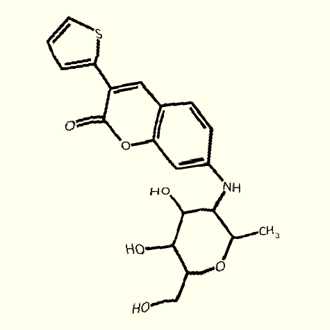 CC1OC(CO)C(O)C(O)C1Nc1ccc2cc(-c3cccs3)c(=O)oc2c1